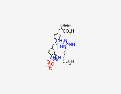 COC(Cc1ccc(NCc2ccc3cc(OS(C)(=O)=O)ccc3c2)cc1)C(=O)O.N=C(N)NCCC[C@H](N)C(=O)O